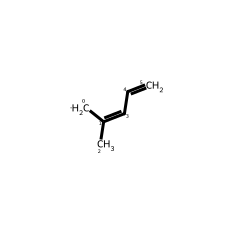 [CH2]/C(C)=C\C=C